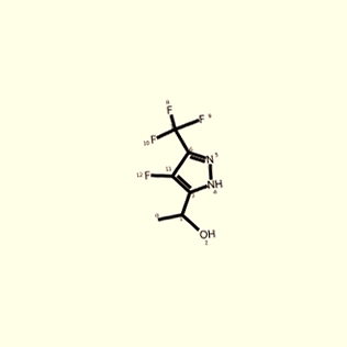 CC(O)c1[nH]nc(C(F)(F)F)c1F